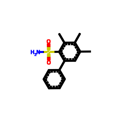 Cc1cc(-c2ccccc2)c(S(N)(=O)=O)c(C)c1C